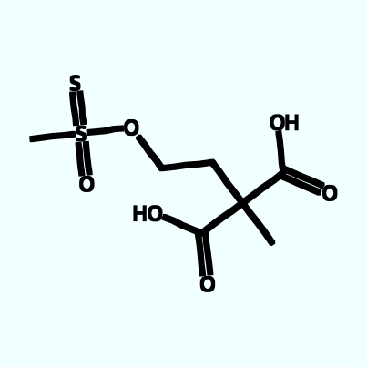 CC(CCOS(C)(=O)=S)(C(=O)O)C(=O)O